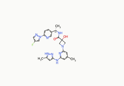 Cc1cc(Nc2cc(C)[nH]n2)nc(N2CC(O)(C(=O)N[C@@H](C)c3ccc(-n4cc(F)cn4)nc3)C2)c1